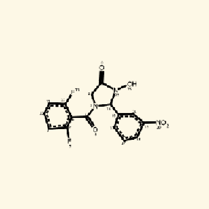 O=C1CN(C(=O)c2c(F)cccc2F)C(c2cccc([N+](=O)[O-])c2)N1O